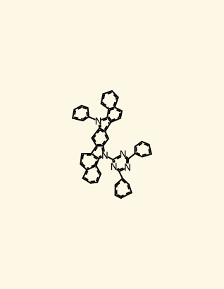 c1ccc(-c2nc(-c3ccccc3)nc(-n3c4cc5c6ccc7ccccc7c6n(-c6ccccc6)c5cc4c4ccc5ccccc5c43)n2)cc1